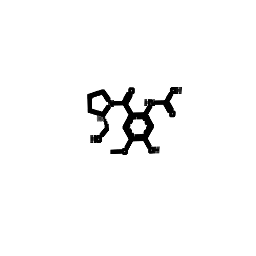 COc1cc(C(=O)N2CCC[C@H]2CO)c(NC(=O)O)cc1O